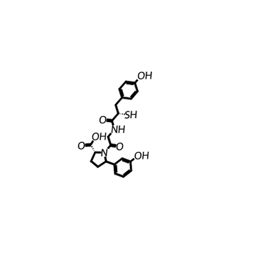 O=C(O)[C@H]1CCC(c2cccc(O)c2)N1C(=O)CNC(=O)[C@@H](S)Cc1ccc(O)cc1